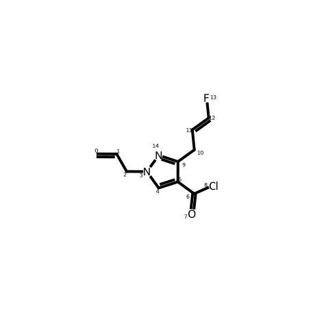 C=CCn1cc(C(=O)Cl)c(CC=CF)n1